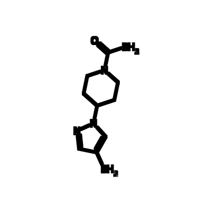 BC(=O)N1CCC(n2cc(B)cn2)CC1